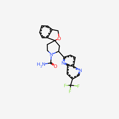 NC(=O)N1CCC2(CC1c1ccc3ncc(C(F)(F)F)cc3n1)OCc1ccccc12